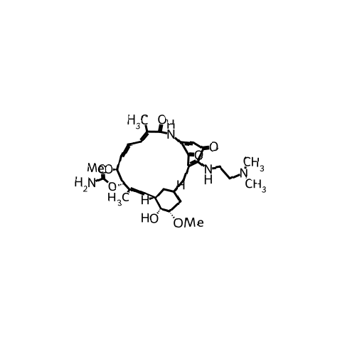 CO[C@H]1/C=C\C=C(/C)C(=O)NC2=CC(=O)C(NCCN(C)C)=C(C[C@H]3C[C@@H](/C=C(\C)[C@@H]1OC(N)=O)[C@@H](O)[C@@H](OC)C3)C2=O